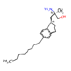 CCCCCCCCc1ccc2c(c1)CC[C@@H]2C[C@@](C)(N)CO